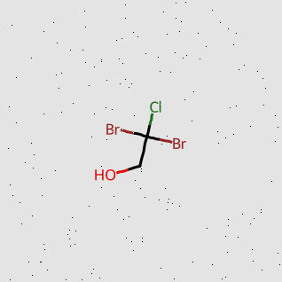 OCC(Cl)(Br)Br